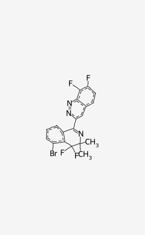 CC1(C)N=C(c2cc3ccc(F)c(F)c3nn2)c2cccc(Br)c2C1(F)F